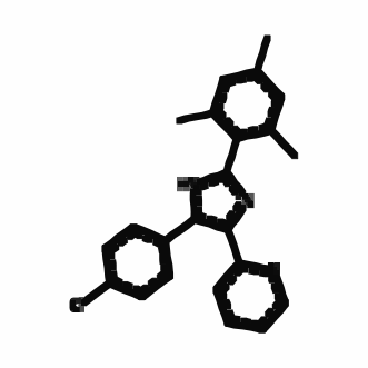 Cc1cc(C)c(-c2nc(-c3ccccn3)c(-c3ccc(Cl)cc3)[nH]2)c(C)c1